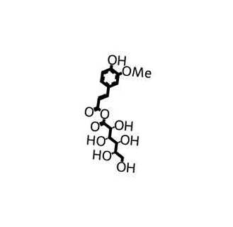 COc1cc(C=CC(=O)OC(=O)[C@H](O)[C@@H](O)[C@H](O)[C@H](O)CO)ccc1O